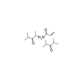 C=CC(N)=O.CC(C)C(=O)C(C)C.CC(C)C(=O)C(C)C